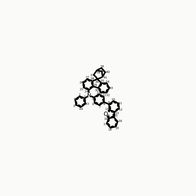 c1ccc(N(c2ccc(-c3cccc4c3oc3ccccc34)cc2)c2cccc3c2-c2ccccc2C32CC3CCC2C3)cc1